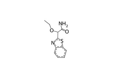 CCOC(C(N)=O)c1nc2ccccc2s1